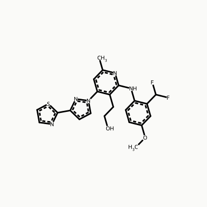 COc1ccc(Nc2nc(C)cc(-n3ccc(-c4nccs4)n3)c2CCO)c(C(F)F)c1